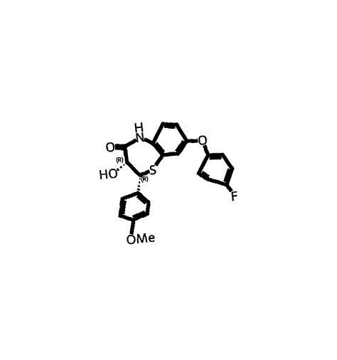 COc1ccc([C@H]2Sc3cc(Oc4ccc(F)cc4)ccc3NC(=O)[C@H]2O)cc1